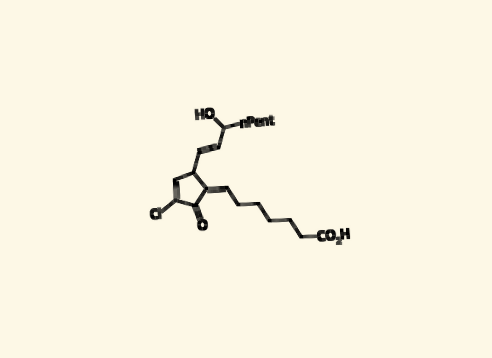 CCCCCC(O)C=CC1C=C(Cl)C(=O)C1=CCCCCCC(=O)O